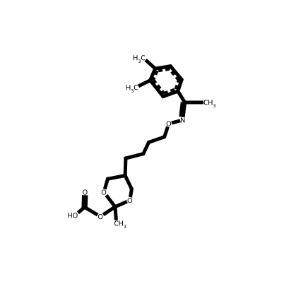 CC(=NOCCCCC1COC(C)(OC(=O)O)OC1)c1ccc(C)c(C)c1